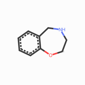 [C]1CNCc2ccccc2O1